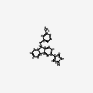 FC(F)(F)c1cccc(Cn2c3ccccc3c3cc(-c4nn[nH]n4)ccc32)c1